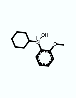 COc1ccccc1[Si@@H](O)C1CCCCC1